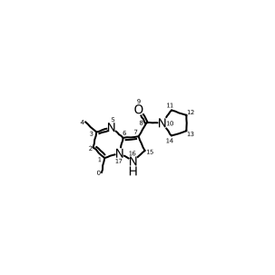 CC1=CC(C)=NC2=C(C(=O)N3CCCC3)CNN12